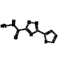 CCCNC(=O)c1nc(-c2cccs2)no1